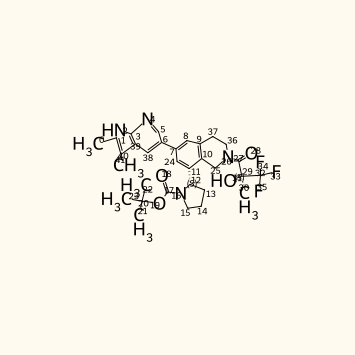 Cc1[nH]c2ncc(-c3cc4c(c([C@@H]5CCCN5C(=O)OC(C)(C)C)c3)CN(C(=O)[C@](C)(O)C(F)(F)F)CC4)cc2c1C